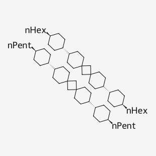 CCCCCC[C@H]1CC[C@H](C2CCC3(CC2)CC2(CCC([C@H]4CC[C@H](CCCCCC)CC4)CC2)C3)CC1.CCCCC[C@H]1CC[C@H](C2CCC3(CC2)CC2(CCC([C@H]4CC[C@H](CCCCC)CC4)CC2)C3)CC1